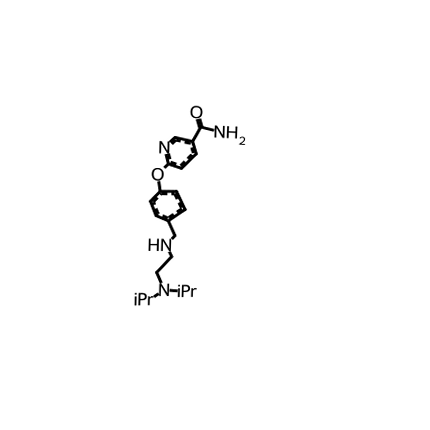 CC(C)N(CCNCc1ccc(Oc2ccc(C(N)=O)cn2)cc1)C(C)C